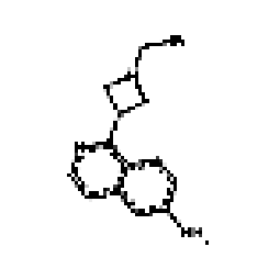 CC(C)CN1CC(c2nccc3cc(N)ccc23)C1